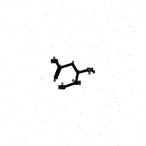 CC(CC(=O)O)NO